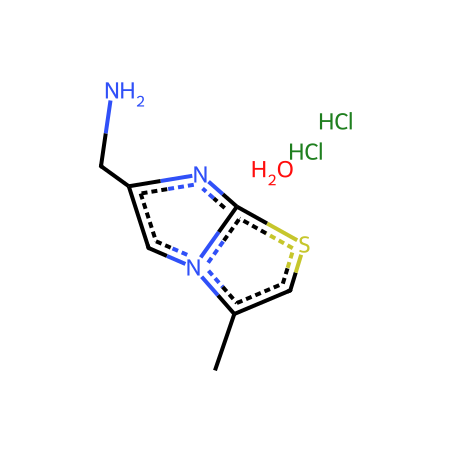 Cc1csc2nc(CN)cn12.Cl.Cl.O